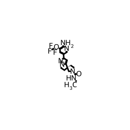 CCNC(=O)N1CC[C@@]2(CCn3nc(-c4cnc(N)c(OC(F)(F)F)c4)cc32)C1